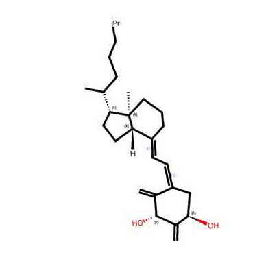 C=C1/C(=C\C=C2/CCC[C@]3(C)[C@@H](C(C)CCCC(C)C)CC[C@@H]23)C[C@@H](O)C(=C)[C@@H]1O